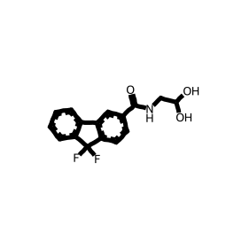 O=C(NCC(O)O)c1ccc2c(c1)-c1ccccc1C2(F)F